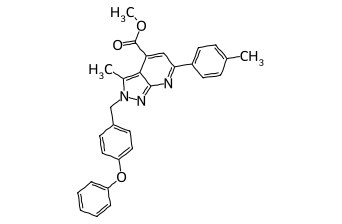 COC(=O)c1cc(-c2ccc(C)cc2)nc2nn(Cc3ccc(Oc4ccccc4)cc3)c(C)c12